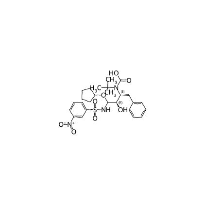 CC(C)(C)N(C(=O)O)[C@@H](Cc1ccccc1)[C@@H](O)C(NS(=O)(=O)c1cccc([N+](=O)[O-])c1)OC1CCCC1